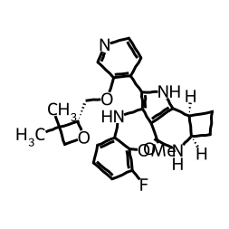 COc1c(F)cccc1Nc1c(-c2ccncc2OC[C@@H]2OCC2(C)C)[nH]c2c1C(=O)N[C@@H]1CC[C@H]21